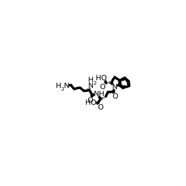 NCCCC[C@H](N)C(=O)N[C@H](CCC(=O)N1c2ccccc2C[C@H]1C(=O)O)C(=O)O